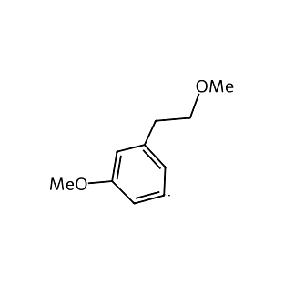 COCCc1c[c]cc(OC)c1